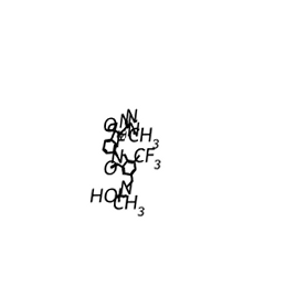 Cn1cnnc1[C@@H](F)C1(c2cccc(N3Cc4c(cc(CN5CC(C)(O)C5)cc4C(F)(F)F)C3=O)c2)COC1